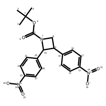 CC(C)(C)OC(=O)N1CC(c2ccc([N+](=O)[O-])cc2)C1c1ccc([N+](=O)[O-])cc1